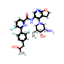 CC(O)Cc1cc(F)c(-c2nc(C(=O)Nc3cnc4c(c3N3C[C@@H](N)[C@H](O)[C@@H](C)C3)CCO4)ccc2F)c(F)c1